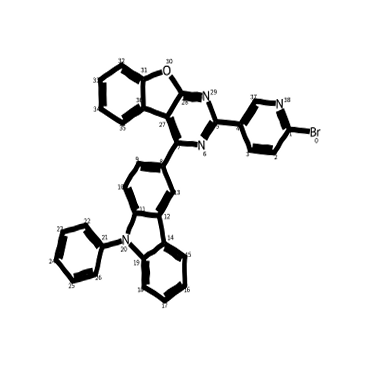 Brc1ccc(-c2nc(-c3ccc4c(c3)c3ccccc3n4-c3ccccc3)c3c(n2)oc2ccccc23)cn1